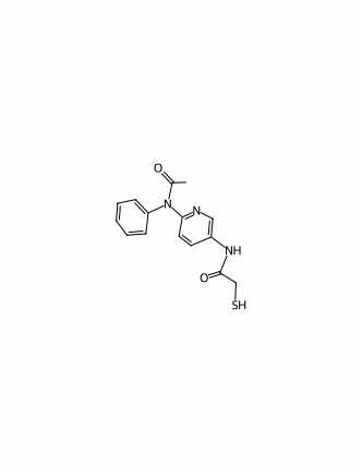 CC(=O)N(c1ccccc1)c1ccc(NC(=O)CS)cn1